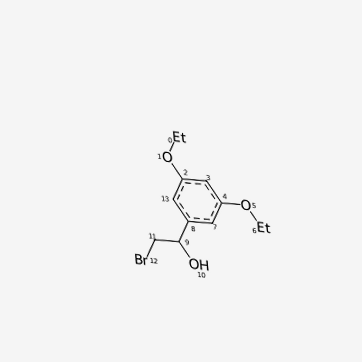 CCOc1cc(OCC)cc(C(O)CBr)c1